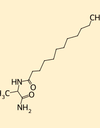 CCCCCCCCCCCC(=O)NC(C)C(N)=O